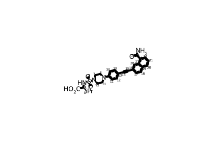 CC(C)[C@H](NS(=O)(=O)N1CCN(c2ccc(C#Cc3ccc4cccc(C(N)=O)c4c3)cc2)CC1)C(=O)O